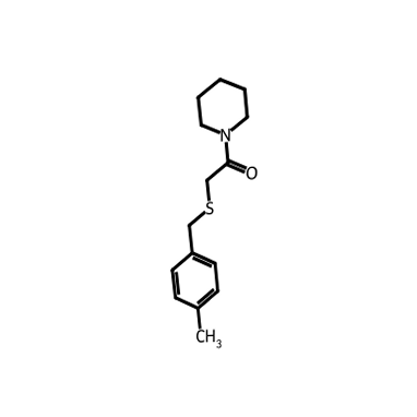 Cc1ccc(CSCC(=O)N2CCCCC2)cc1